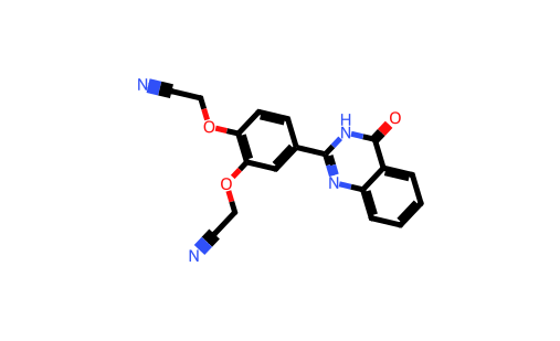 N#CCOc1ccc(-c2nc3ccccc3c(=O)[nH]2)cc1OCC#N